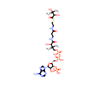 CC(C)(O)C(O)C(=O)SCCNC(=O)CCNC(=O)[C@H](O)C(C)(C)COP(=O)(O)OP(=O)(O)OC[C@H]1O[C@@H](n2cnc3c(N)ncnc32)[C@H](O)[C@@H]1OP(=O)(O)O